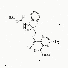 C=C(CCC1(CCC)Cc2ccccc2[C@H]1NC(=O)OC(C)(C)C)c1ncc(S)nc1C(=O)OC